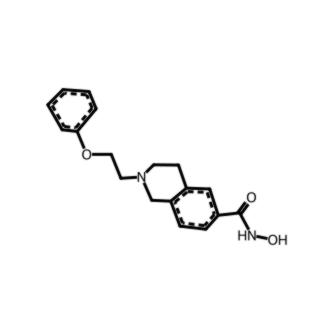 O=C(NO)c1ccc2c(c1)CCN(CCOc1ccccc1)C2